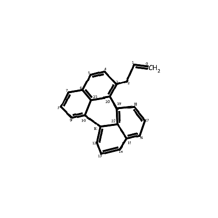 C=C[CH]c1ccc2cccc3c4cccc5cccc(c1c23)c54